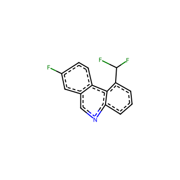 Fc1ccc2c(cnc3cccc(C(F)F)c32)c1